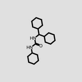 O=C(NC1CCCCC1)NC(C1CCCCC1)C1CCCCC1